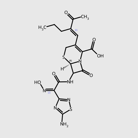 CCC/C(=C\C1=C(C(=O)O)N2C(=O)C(NC(=O)/C(=N\O)c3nsc(N)n3)[C@H]2SC1)C(C)=O